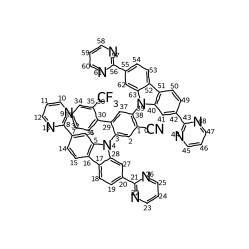 N#Cc1cc(-n2c3cc(-c4ncccn4)ccc3c3ccc(-c4ncccn4)cc32)c(-c2ccccc2C(F)(F)F)cc1-n1c2cc(-c3ncccn3)ccc2c2ccc(-c3ncccn3)cc21